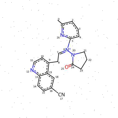 Cc1cccc([N+](=CCc2ccnc3ccc(C#N)cc23)N2CCCC2=O)n1